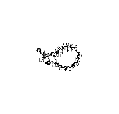 Cc1ccc(CNC(=O)c2cc(CC(=O)c3cc(CC(=O)c4cc(CC(=O)c5nc(CC(=O)C(C)CCNC(=O)c6cc(NC(=O)c7nc(NC(=O)c8cc(NC(=O)c9nc(NC(=O)C(CCN)NC(=O)OCc%10ccccc%10)cn9C)cn8C)cn7C)cn6C)cn5C)cn4C)cn3C)cn2C)cc1